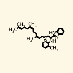 CC(C)=CCCC(C)=CCCC(C)=CCSCC(Nc1ncccc1C)c1nc2ccccc2[nH]1